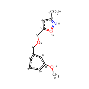 O=C(O)c1cc(COCc2cccc(OC(F)(F)F)c2)on1